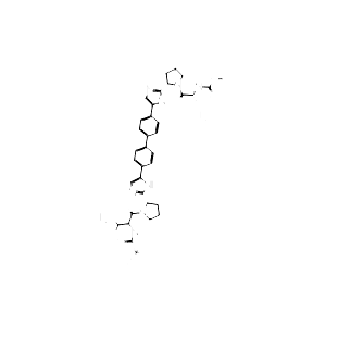 COC(=O)NC(C(=O)N1CCC[C@H]1c1ncc(-c2ccc(-c3ccc(-c4cnc([C@@H]5CCCN5C(=O)[C@H](C)NC(=O)OC)[nH]4)cc3)cc2)[nH]1)C(C)C